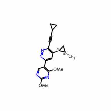 COc1ncc(-c2cc([C@H]3C[C@@H]3C(F)(F)F)c(C#CC3CC3)nn2)c(OC)n1